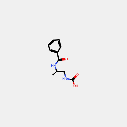 C[C@H](CNC(=O)O)NC(=O)c1ccccc1